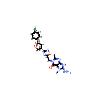 Cc1nc2nc(N)n(C)c2c(=O)n1Cc1nc([C@@H]2CO[C@@H](c3ccc(Cl)cc3)C2)no1